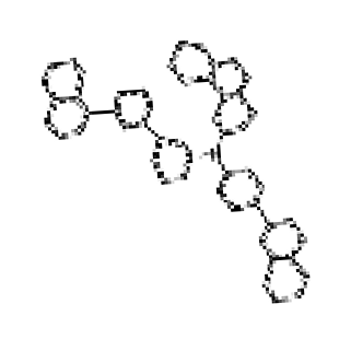 c1cc(-c2cccc(N(c3ccc(-c4ccc5ccccc5c4)cc3)c3ccc4ccc5ccccc5c4c3)c2)cc(-c2cccc3ccccc23)c1